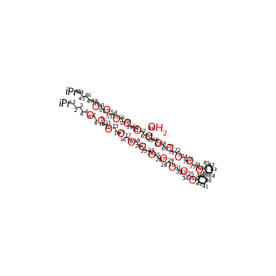 CC(C)CCCCCOCCOCCOCCOCCOCCOCCOCCOCCOCCOCCOc1ccccc1.CC(C)CCCCCOCCOCCOCCOCCOCCOCCOCCOCCOCCOCCOc1ccccc1.O